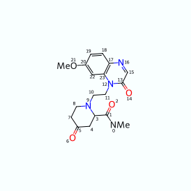 CNC(=O)C1CC(=O)CCN1CCn1c(=O)cnc2ccc(OC)cc21